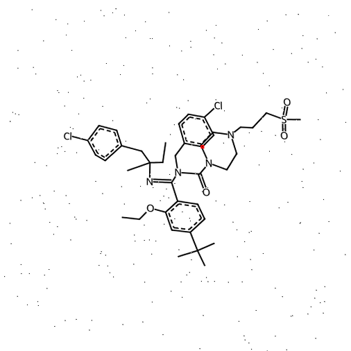 CCOc1cc(C(C)(C)C)ccc1/C(=N/C(C)(CC)Cc1ccc(Cl)cc1)N(Cc1ccc(Cl)cc1)C(=O)N1CCN(CCCS(C)(=O)=O)CC1